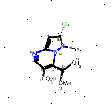 [2H]N1[C@@H](Cl)C=C2N=CC(C(=O)O)=C(C(C)OC)N21